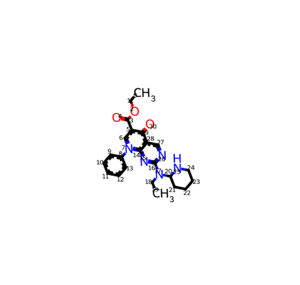 CCOC(=O)c1cn(-c2ccccc2)c2nc(N(CC)C3CCCCN3)ncc2c1=O